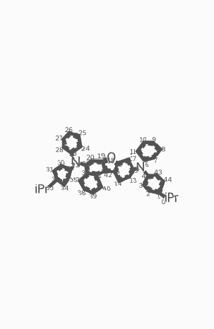 CC(C)c1ccc(N(c2ccccc2)c2ccc3c(c2)oc2cc(N(c4ccccc4)c4ccc(C(C)C)cc4)c4ccccc4c23)cc1